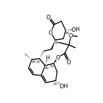 COC(C)(C)C(=O)O[C@H]1C[C@H](O)C=C2C=C[C@H](C)[C@H](CC[C@@H]3C[C@@H](O)CC(=O)O3)[C@H]21